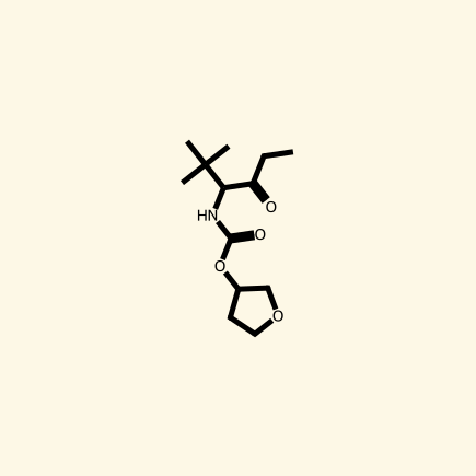 CCC(=O)C(NC(=O)OC1CCOC1)C(C)(C)C